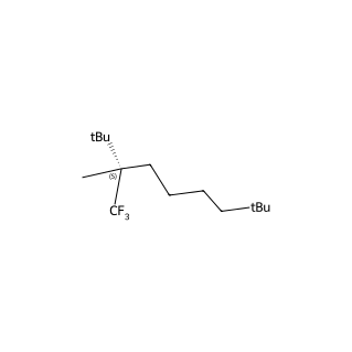 CC(C)(C)CCCC[C@@](C)(C(C)(C)C)C(F)(F)F